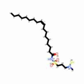 CCCCCCCC/C=C\CCCCCCCC(=O)NS(=O)(=O)CCCN(C)S